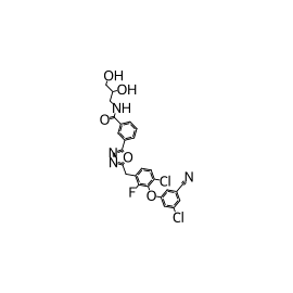 N#Cc1cc(Cl)cc(Oc2c(Cl)ccc(Cc3nnc(-c4cccc(C(=O)NCC(O)CO)c4)o3)c2F)c1